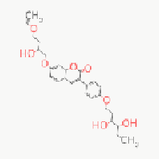 C=COCCC(O)COC1=CC2OC(=O)C(c3ccc(OCCC(O)C(O)CC)cc3)=CC2C=C1